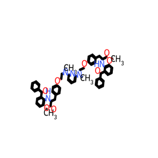 COC(=O)C(Cc1ccc(OCCN(C)c2cccc(N(C)CCOc3ccc(CC(Nc4ccccc4C(=O)c4ccccc4)C(=O)OC)cc3)n2)cc1)Nc1ccccc1C(=O)c1ccccc1